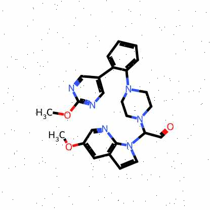 COc1cnc2c(ccn2C(C=O)N2CCN(c3ccccc3-c3cnc(OC)nc3)CC2)c1